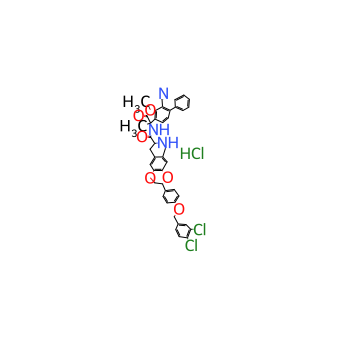 COC(=O)C(C)(NC(=O)C1Cc2cc3c(cc2CN1)OC(c1ccc(OCc2ccc(Cl)c(Cl)c2)cc1)CO3)c1ccc(-c2ccccc2)c(C#N)c1.Cl